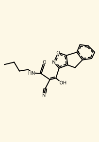 CCCCNC(=O)C(C#N)=C(O)c1noc2c1Cc1ccccc1-2